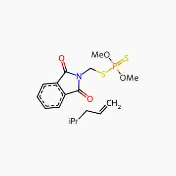 C=CCC(C)C.COP(=S)(OC)SCN1C(=O)c2ccccc2C1=O